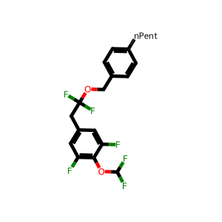 CCCCCc1ccc(COC(F)(F)Cc2cc(F)c(OC(F)F)c(F)c2)cc1